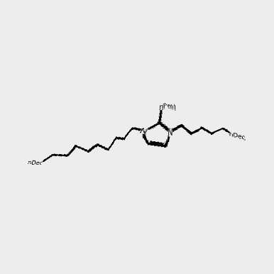 CCCCCCCCCCCCCCCCCCCN1C=CN(CCCCCCCCCCCCCCC)C1CCCCC